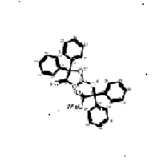 COC(=O)C(OB1OC(=O)C(c2ccccc2)(c2ccccc2)O1)(c1ccccc1)c1ccccc1